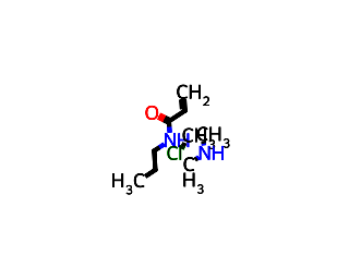 C=CC(=O)NCCC.CCl.CNC